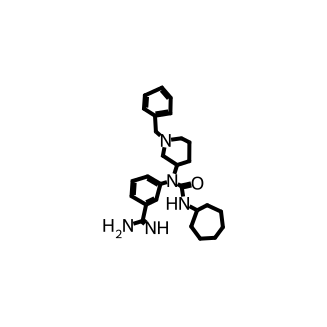 N=C(N)c1cccc(N(C(=O)NC2CCCCCC2)C2CCCN(Cc3ccccc3)C2)c1